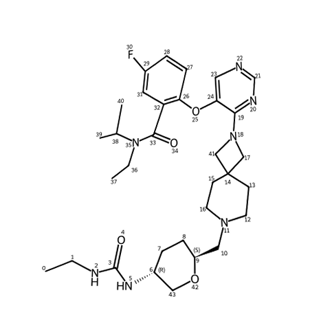 CCNC(=O)N[C@@H]1CC[C@@H](CN2CCC3(CC2)CN(c2ncncc2Oc2ccc(F)cc2C(=O)N(CC)C(C)C)C3)OC1